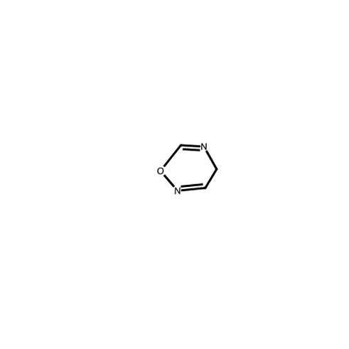 C1=NCC=NO1